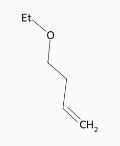 C=CCCOCC